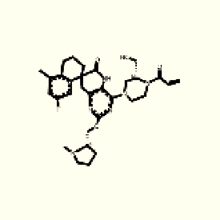 C=CC(=O)N1CCN(c2nc(OC[C@@H]3CCCN3C)nc3c2NC(=O)C2(CCCc4c(C)cc(F)cc42)C3)C[C@@H]1CC#N